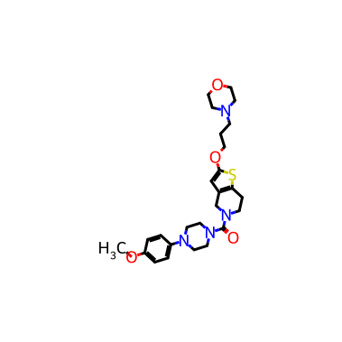 COc1ccc(N2CCN(C(=O)N3CCc4sc(OCCCN5CCOCC5)cc4C3)CC2)cc1